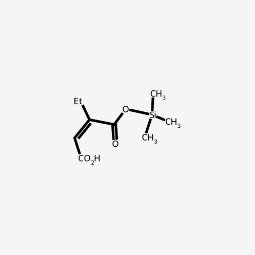 CCC(=CC(=O)O)C(=O)O[Si](C)(C)C